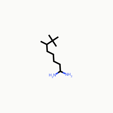 CC(CCCCC(N)N)C(C)(C)C